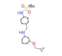 CC(C)(C)S(=O)(=O)Nc1ccc(CNc2cccc(OCC3CC3)c2)cc1